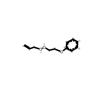 C=CCOOCCOc1ccccc1